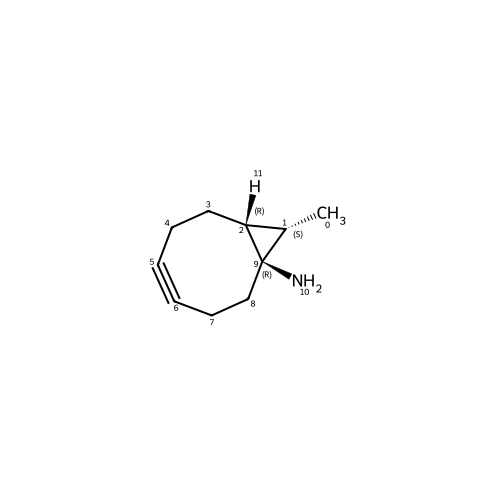 C[C@H]1[C@H]2CCC#CCC[C@]21N